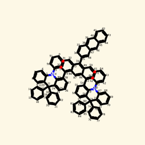 c1ccc(N2c3ccccc3C(c3ccccc3)(c3ccccc3)c3cccc(-c4cccc5c(-c6ccc7cc8ccccc8cc7c6)c6cccc(-c7cccc8c7N(c7ccccc7)c7ccccc7C8(c7ccccc7)c7ccccc7)c6cc45)c32)cc1